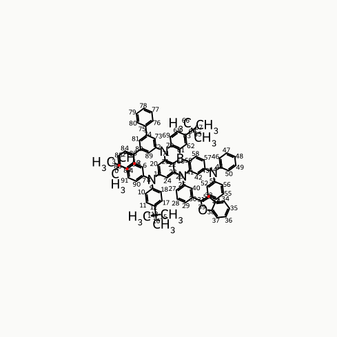 CC(C)(C)c1ccc(N(c2ccc(C(C)(C)C)cc2)c2cc3c4c(c2)N(c2cccc(-c5cc6ccccc6o5)c2)c2cc(N(c5ccccc5)c5ccccc5)ccc2B4c2cc(C(C)(C)C)ccc2N3c2cc(-c3ccccc3)cc(-c3ccccc3)c2)cc1